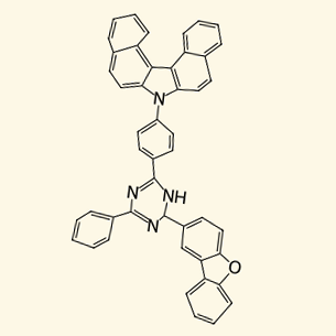 c1ccc(C2=NC(c3ccc4oc5ccccc5c4c3)NC(c3ccc(-n4c5ccc6ccccc6c5c5c6ccccc6ccc54)cc3)=N2)cc1